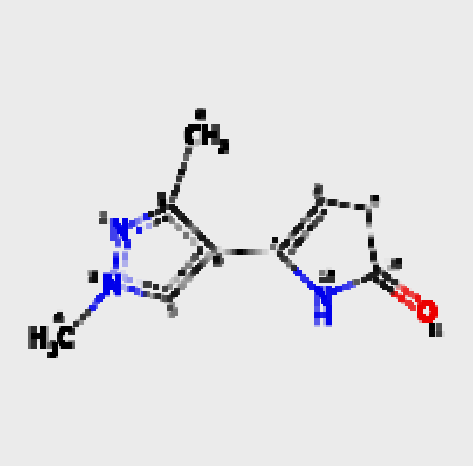 Cc1nn(C)cc1C1=CCC(=O)N1